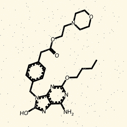 CCCCOc1nc(N)c2nc(O)n(Cc3ccc(CC(=O)OCCN4CCOCC4)cc3)c2n1